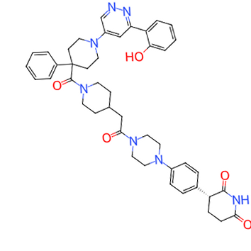 O=C1CC[C@H](c2ccc(N3CCN(C(=O)CC4CCN(C(=O)C5(c6ccccc6)CCN(c6cnnc(-c7ccccc7O)c6)CC5)CC4)CC3)cc2)C(=O)N1